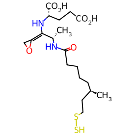 C[C@H](CCCCC(=O)N[C@@H](C)/C(N[C@@H](CCC(=O)O)C(=O)O)=C1/CO1)CCSS